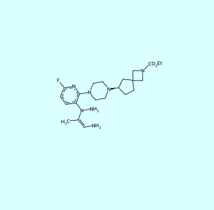 CCOC(=O)N1CC2(CC[C@@H](N3CCN(c4nc(F)ccc4N(N)/C(C)=C\N)CC3)C2)C1